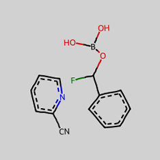 N#Cc1ccccn1.OB(O)OC(F)c1ccccc1